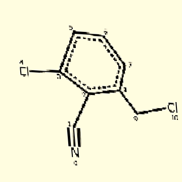 N#Cc1c(Cl)cccc1CCl